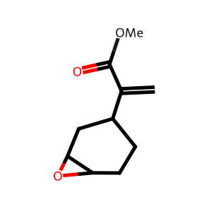 C=C(C(=O)OC)C1CCC2OC2C1